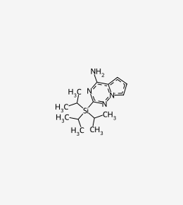 CC(C)[Si](c1nc(N)c2cccn2n1)(C(C)C)C(C)C